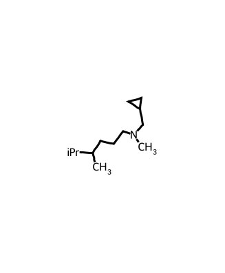 CC(C)C(C)CCCN(C)CC1CC1